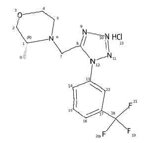 C[C@@H]1COCCN1Cc1nnnn1-c1cccc(C(F)(F)F)c1.Cl